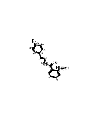 CCNc1ccccc1C(=O)NCCc1ccc(F)cc1